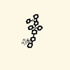 C[Si]1(C)c2ccccc2-c2ccc(-c3ccc(S(c4ccccc4)(c4ccccc4)c4ccc5c6ccccc6n(-c6ccccc6)c5c4)cc3)cc21